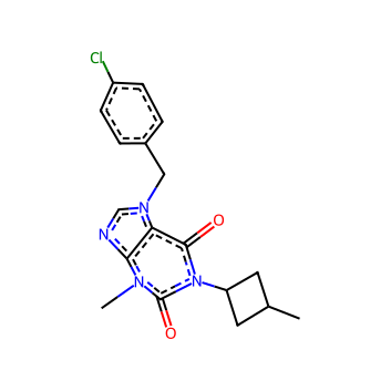 CC1CC(n2c(=O)c3c(ncn3Cc3ccc(Cl)cc3)n(C)c2=O)C1